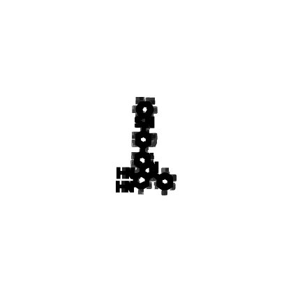 N=C1C=Cc2c(-c3ccccc3)nc3cc(-c4ccc(-c5nc6ccccc6s5)cc4)ccc3c2C1=N